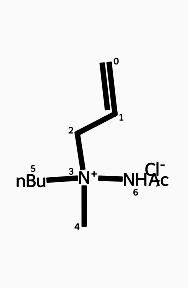 C=CC[N+](C)(CCCC)NC(C)=O.[Cl-]